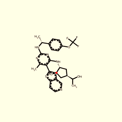 Cc1nc(N[C@H](C)c2ccc(OC(F)(F)F)cc2)nc(N[C@@H]2C[C@@H](C(C)O)C[C@H]2O)c1-c1nc2cnccc2s1